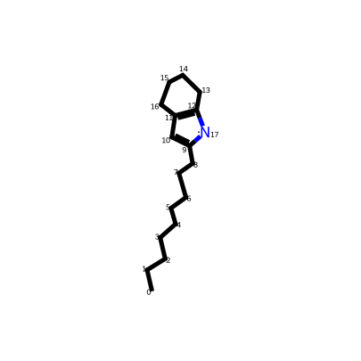 CCCCCCCCCC1=CC2=C(CCCC2)[N]1